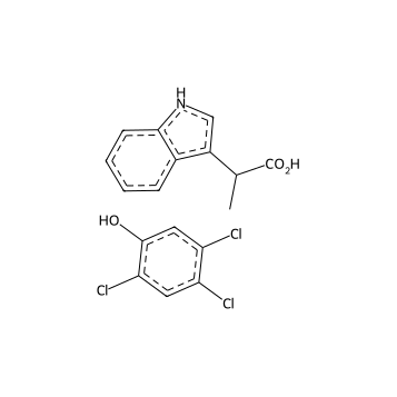 CC(C(=O)O)c1c[nH]c2ccccc12.Oc1cc(Cl)c(Cl)cc1Cl